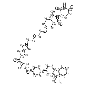 Cn1c2ccncc2c2ccc(-c3ccc(OC4CN(C(=O)C5CC6(C5)CN(CCOCCOC5CCC7C(=O)N(C8CCC(=O)NC8=O)C(=O)C7C5)C6)C4)nc3)cc21